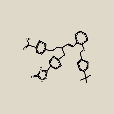 CC(C)(C)c1ccc(COc2ccccc2/C=C/C(CCc2ccc(C(=O)O)cc2)Cc2ccc(-c3noc(=O)[nH]3)cc2)cc1